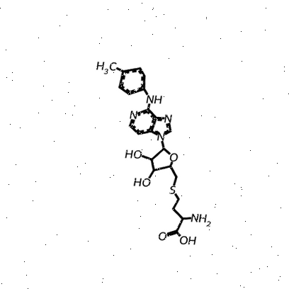 Cc1ccc(Nc2nccc3c2ncn3C2OC(CSCCC(N)C(=O)O)C(O)C2O)cc1